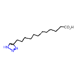 O=C(O)CCCCCCCCCCCc1c[nH]nn1